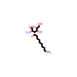 CCCCCCCCCC(=O)[C@@H]([C@H](O)[C@H](O)CO)[C@@H](N)C=O